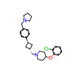 Clc1ccccc1OC1CCN(C[C@H]2C[C@H](c3ccc(CN4CCCC4)cc3)C2)CC1